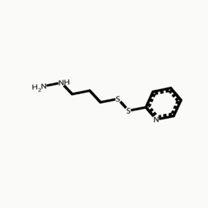 NNCCCSSc1ccccn1